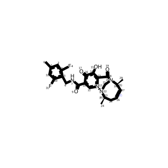 Cc1cc(F)c(CNC(=O)c2cn3c(c(O)c2=O)C(=O)N2CN3[C@H](C)C/C=C\[C@@H]2C)c(F)c1